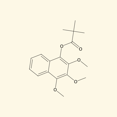 COc1c(OC)c(OC(=O)C(C)(C)C)c2ccccc2c1OC